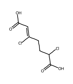 O=C(O)C=C(Cl)CCC(Cl)C(=O)O